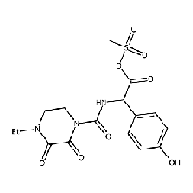 CCN1CCN(C(=O)NC(C(=O)OS(C)(=O)=O)c2ccc(O)cc2)C(=O)C1=O